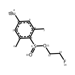 Cc1cc(C(C)(C)C)cc(C)c1S(=O)OCCF